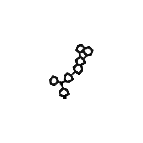 c1ccc(N(c2ccncc2)c2ccc(-c3ccc4cc5c(cc4c3)-c3cccc4cccc-5c34)cc2)cc1